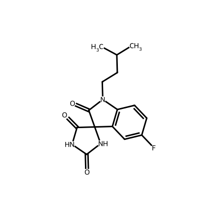 CC(C)CCN1C(=O)C2(NC(=O)NC2=O)c2cc(F)ccc21